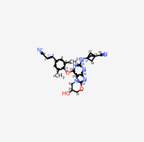 Cc1cc(/C=C/C#N)cc(C)c1Oc1nc(NC23CC(C#N)(C2)C3)nc2nc3n(c12)CC(O)CO3